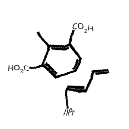 C=CC=CCCC.Cc1c(C(=O)O)cccc1C(=O)O